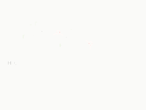 CCCC1=CC=C(OC(F)(F)C2CCC(C3CCC(C4CCCCC4)CC3)OC2)C(F)(F)C1(F)F